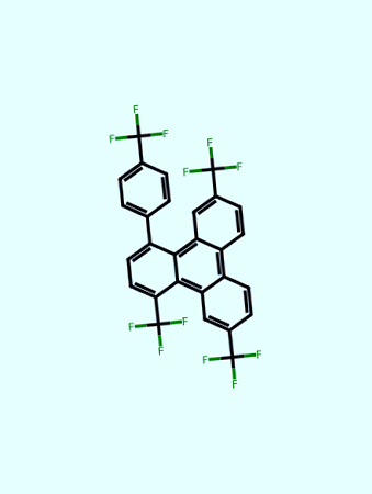 FC(F)(F)c1ccc(-c2ccc(C(F)(F)F)c3c4cc(C(F)(F)F)ccc4c4ccc(C(F)(F)F)cc4c23)cc1